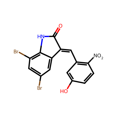 O=C1Nc2c(Br)cc(Br)cc2C1=Cc1cc(O)ccc1[N+](=O)[O-]